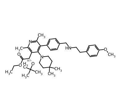 CCOC(=O)[C@@H](OC(C)(C)C)c1c(C)nc(C)c(-c2ccc(CNCCc3ccc(OC)cc3)cc2)c1N1CCC(C)(C)CC1